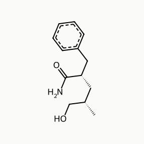 C[C@H](CO)C[C@@H](Cc1ccccc1)C(N)=O